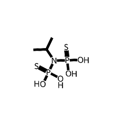 CC(C)N(P(O)(O)=S)P(O)(O)=S